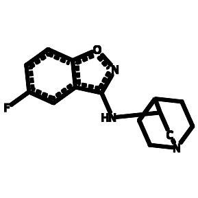 Fc1ccc2onc(NC3CN4CCC3CC4)c2c1